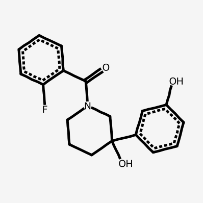 O=C(c1ccccc1F)N1CCCC(O)(c2cccc(O)c2)C1